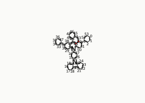 c1ccc(-c2ccc(N(c3ccc(-n4c5ccccc5c5ccccc54)cc3)c3ccc(-c4ccccc4)cc3-c3cccc4ccccc34)cc2)cc1